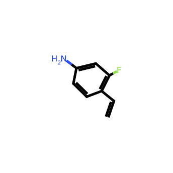 C=Cc1ccc(N)cc1F